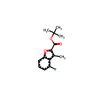 Cc1c(C(=O)OC(C)(C)C)oc2cccc(F)c12